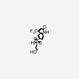 O=c1cc(C(F)(F)F)c2cc(S(=O)(=O)NCCCO)ccc2[nH]1